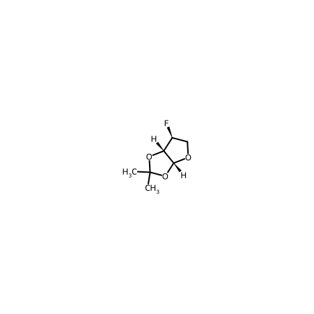 CC1(C)O[C@H]2OC[C@H](F)[C@H]2O1